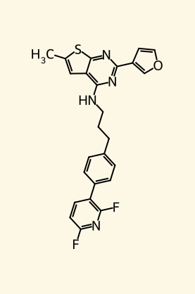 Cc1cc2c(NCCCc3ccc(-c4ccc(F)nc4F)cc3)nc(-c3ccoc3)nc2s1